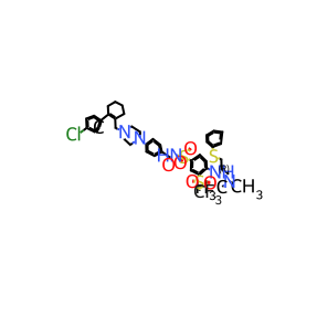 CN(C)C[C@H](CSc1ccccc1)Nc1ccc(S(=O)(=O)NC(=O)c2ccc(N3CCN(CC4=C(c5ccc(Cl)cc5)CCCC4)CC3)cc2)cc1S(=O)(=O)C(F)(F)F